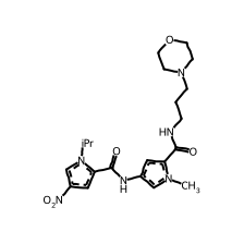 CC(C)n1cc([N+](=O)[O-])cc1C(=O)Nc1cc(C(=O)NCCCN2CCOCC2)n(C)c1